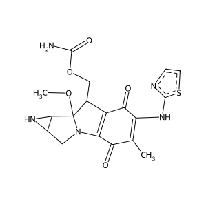 COC12C(COC(N)=O)C3=C(C(=O)C(C)=C(Nc4nccs4)C3=O)N1CC1NC12